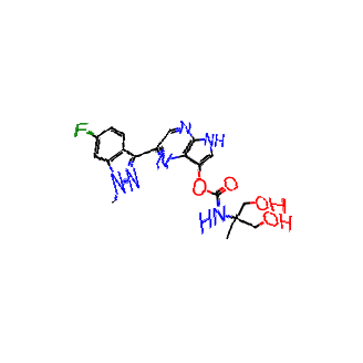 Cn1nc(-c2cnc3[nH]cc(OC(=O)NC(C)(CO)CO)c3n2)c2ccc(F)cc21